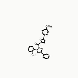 COc1ccc(-c2ccc(C(=O)N3N=C(c4cccnc4)CC3c3ccccc3O)o2)cc1